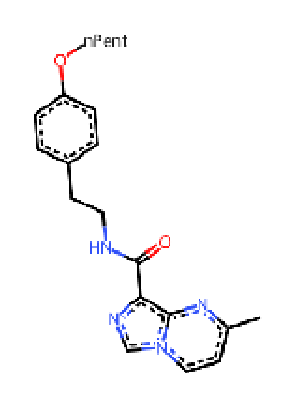 CCCCCOc1ccc(CCNC(=O)c2ncn3ccc(C)nc23)cc1